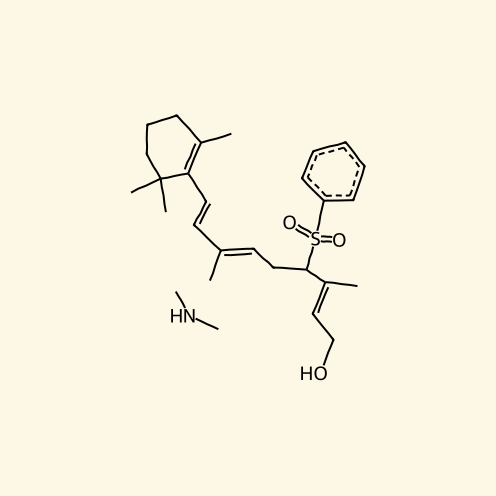 CC(C=CC1=C(C)CCCC1(C)C)=CCC(C(C)=CCO)S(=O)(=O)c1ccccc1.CNC